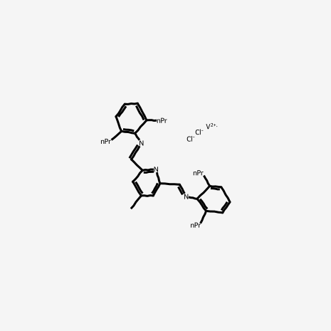 CCCc1cccc(CCC)c1N=Cc1cc(C)cc(C=Nc2c(CCC)cccc2CCC)n1.[Cl-].[Cl-].[V+2]